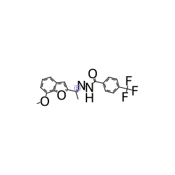 COc1cccc2cc(/C(C)=N/NC(=O)c3ccc(C(F)(F)F)cc3)oc12